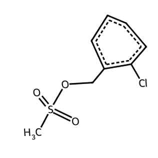 CS(=O)(=O)OCc1ccccc1Cl